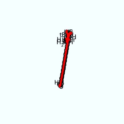 CC(C)[C@H](NC(=O)CCOCCOCCOCCOCCOCCOCCOCCOCCOCCOCCOCCOCCOCCOCCOCCOCCOCCOCCOCCOCCNC(=O)CCN1C(=O)C=CC1=O)C(=O)N(CCCN(C(=O)CO)[C@@H](c1nc(-c2cc(F)ccc2F)cn1Cc1ccccc1)C(C)(C)C)[C@@H](CCCNC(N)=O)C(N)=O